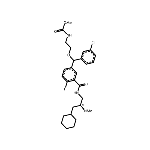 CN[C@H](CNC(=O)c1cc(C(OCCNC(=O)OC)c2cccc(Cl)c2)ccc1F)CC1CCCCC1